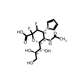 CC(=O)N[C@H]1[C@H]([C@H](O)[C@H](O)CO)OC(F)(C(=O)O)C(F)[C@@H]1n1cccc1